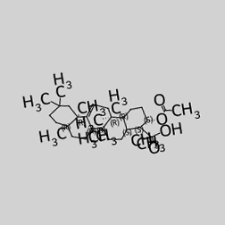 CC(=O)O[C@H]1CC[C@]2(C)[C@]3(C)CC=C4[C@]5(C)CC(C)(C)CC[C@]5(C)CC[C@]4(C)[C@]3(C)CC[C@]2(C)[C@]1(C)C(=O)O